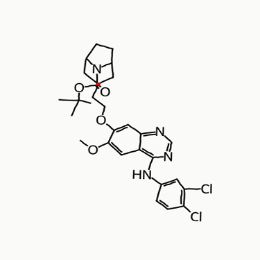 COc1cc2c(Nc3ccc(Cl)c(Cl)c3)ncnc2cc1OCCC1CC2CCC(C1)N2C(=O)OC(C)(C)C